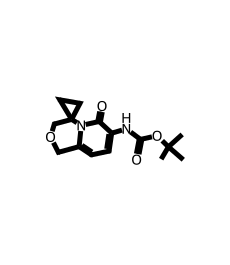 CC(C)(C)OC(=O)Nc1ccc2n(c1=O)C1(CC1)COC2